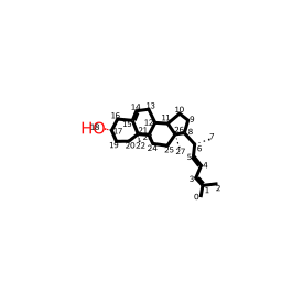 CC(C)=C/C=C/[C@@H](C)C1CCC2C3CC=C4C[C@@H](O)CC[C@]4(C)C3CC[C@@]21C